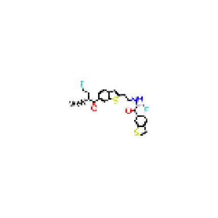 CNC(CCF)C(=O)c1ccc2cc(CCNC(CF)C(=O)c3ccc4ccsc4c3)sc2c1